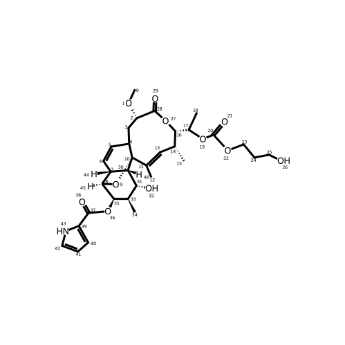 CO[C@H]1CC2C=C[C@H]3[C@H]4O[C@]2(/C(C)=C/[C@@H](C)[C@@H](C(C)OC(=O)OCCCO)OC1=O)[C@@H]3[C@H](O)[C@@H](C)[C@H]4OC(=O)c1ccc[nH]1